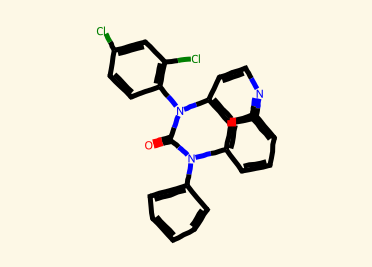 O=C(N(c1ccccc1)c1ccccc1)N(c1ccncc1)c1ccc(Cl)cc1Cl